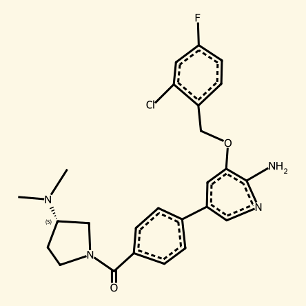 CN(C)[C@H]1CCN(C(=O)c2ccc(-c3cnc(N)c(OCc4ccc(F)cc4Cl)c3)cc2)C1